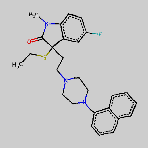 CCSC1(CCN2CCN(c3cccc4ccccc34)CC2)C(=O)N(C)c2ccc(F)cc21